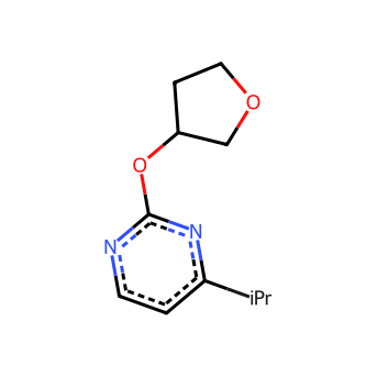 CC(C)c1ccnc(OC2CCOC2)n1